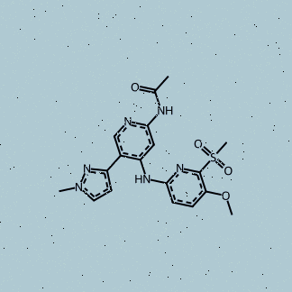 COc1ccc(Nc2cc(NC(C)=O)ncc2-c2ccn(C)n2)nc1S(C)(=O)=O